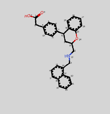 O=C(O)Cc1ccc(C2CC(CNCc3cccc4ccccc34)Oc3ccccc32)cc1